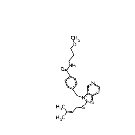 COCCCNC(=O)c1ccc(Cn2c(SCC=C(C)C)nc3ccncc32)cc1